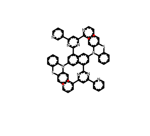 c1ccc(-c2cc(-c3cccnc3)nc(-c3cc(N4c5ccccc5Sc5ccccc54)cc4c(-c5nc(-c6cccnc6)cc(-c6ccccn6)n5)cc(N5c6ccccc6Sc6ccccc65)cc34)n2)nc1